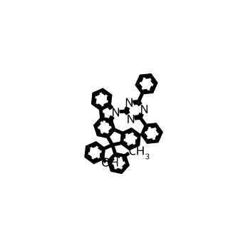 Cc1ccccc1C1(c2ccccc2O)c2ccccc2-c2c1ccc1c3ccccc3n(-c3nc(-c4ccccc4)nc(-c4ccccc4)n3)c21